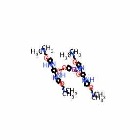 CN(C)CCCOc1ccc2nc(-c3ccc(-c4nc5ccc(OCCCN(C)C)cc5[nH]4)c(OCCOc4ccc(OCCOc5cc(-c6nc7ccc(OCCCN(C)C)cc7[nH]6)ccc5-c5nc6ccc(OCCCN(C)C)cc6[nH]5)cc4)c3)[nH]c2c1